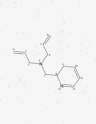 C=CCN(CC=C)CC1CC=CC=N1